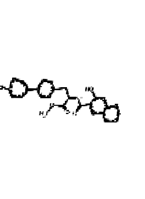 COC(=O)C(Cc1ccc(-c2ccc(Cl)cc2)cc1)NC(=O)c1cc2ccccc2cc1O